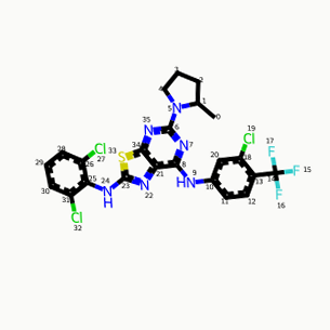 CC1CCCN1c1nc(Nc2ccc(C(F)(F)F)c(Cl)c2)c2nc(Nc3c(Cl)cccc3Cl)sc2n1